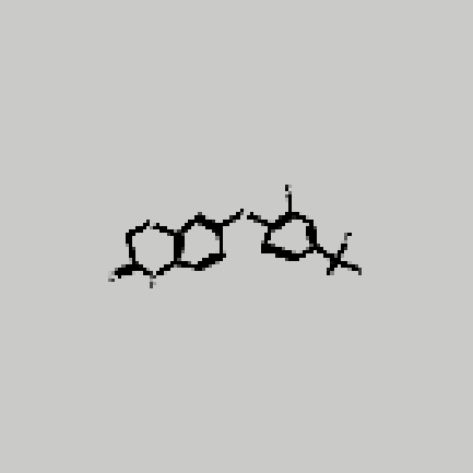 O=C1COc2cc(Oc3ccc(C(F)(F)F)cc3Cl)ccc2N1